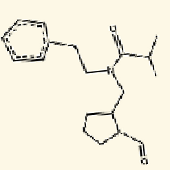 CC(C)C(=O)N(CCc1ccccc1)CC1CCCN1C=O